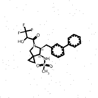 CS(=O)(=O)N[C@@H]1[C@H](Cc2cccc(-c3ccccc3)c2)N(C(=O)C(O)C(F)(F)F)CC12CC2